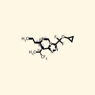 C=C/C=C(\N=C/n1c(/C=N\CC)nnc1C(F)(F)OC1CC1)O[C@H](C)C(F)(F)F